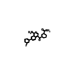 NC(=O)C1CCCN(C(=O)c2cnc(N)c3cc(-c4cccc(F)c4)ccc23)C1